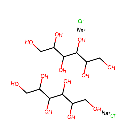 OCC(O)C(O)C(O)C(O)CO.OCC(O)C(O)C(O)C(O)CO.[Cl-].[Cl-].[Na+].[Na+]